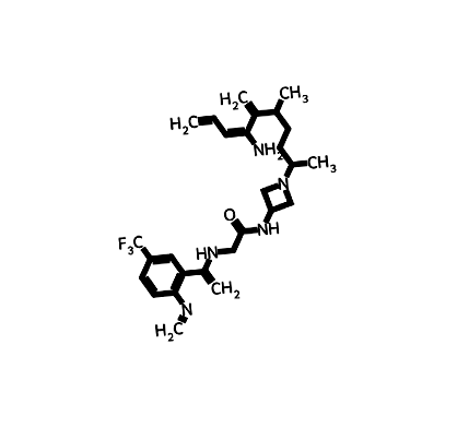 C=C/C=C(/N)C(=C)C(C)CCC(C)N1CC(NC(=O)CNC(=C)c2cc(C(F)(F)F)ccc2N=C)C1